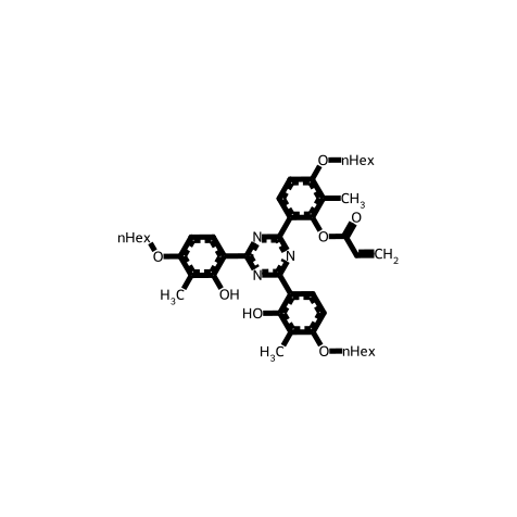 C=CC(=O)Oc1c(-c2nc(-c3ccc(OCCCCCC)c(C)c3O)nc(-c3ccc(OCCCCCC)c(C)c3O)n2)ccc(OCCCCCC)c1C